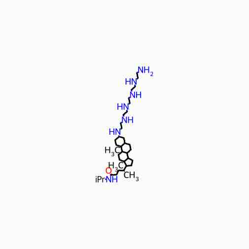 CC(C)NC(=O)CC[C@@H](C)C1CCC2C3CCC4C[C@@H](NCCNCCNCCNCCNCCN)CC[C@]4(C)C3CC[C@@]21C